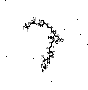 N/C(=N/CC(F)(F)F)Nc1nc(CCCCNC(=C[N+](=O)[O-])NCCCCc2csc(N/C(N)=N\CC(F)(F)F)n2)cs1